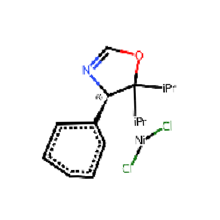 CC(C)C1(C(C)C)OC=N[C@@H]1c1ccccc1.[Cl][Ni][Cl]